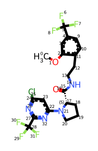 COc1cc(C(F)(F)F)ccc1CCNC(=O)[C@@H]1CCCN1c1cc(Cl)nc(C(F)(F)F)n1